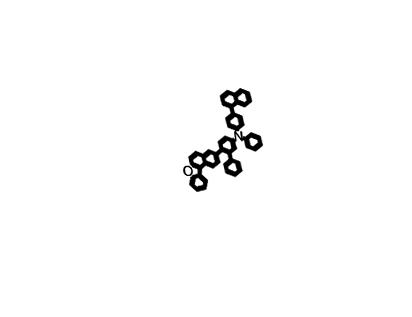 c1ccc(-c2cc(N(c3ccccc3)c3ccc(-c4cccc5ccccc45)cc3)ccc2-c2ccc3c(ccc4oc5ccccc5c43)c2)cc1